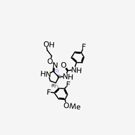 COc1cc(F)c([C@@H]2CN/C(=N\OCCO)[C@H]2NC(=O)Nc2ccc(F)cc2)c(F)c1